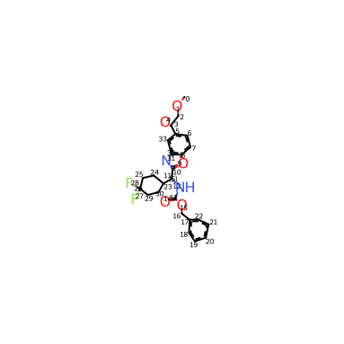 COCC(=O)c1ccc2oc([C@@H](NC(=O)OCc3ccccc3)C3CCC(F)(F)CC3)nc2c1